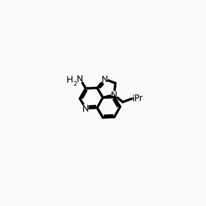 CC(C)CN1CN=C2C(N)=CN=C3C=CC=CC321